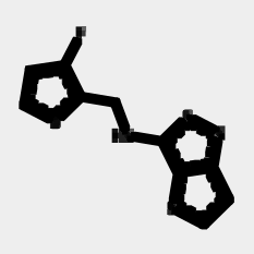 Fc1ccsc1CNc1snc2ccsc12